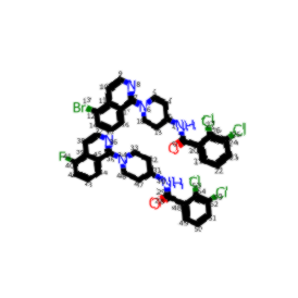 O=C(NC1CCN(c2nccc3c(Br)cccc23)CC1)c1cccc(Cl)c1Cl.O=C(NC1CCN(c2nccc3c(F)cccc23)CC1)c1cccc(Cl)c1Cl